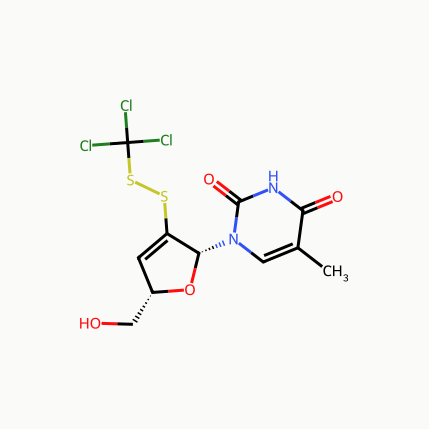 Cc1cn([C@@H]2O[C@H](CO)C=C2SSC(Cl)(Cl)Cl)c(=O)[nH]c1=O